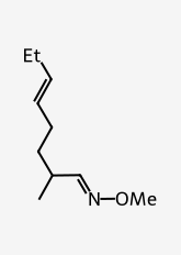 CCC=CCCC(C)C=NOC